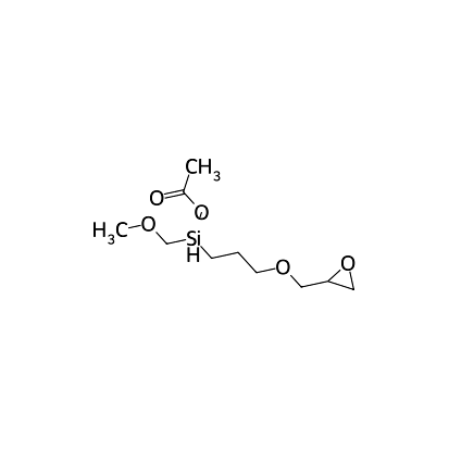 COC[SiH](CCCOCC1CO1)OC(C)=O